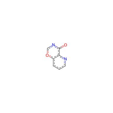 O=c1ncoc2cccnc12